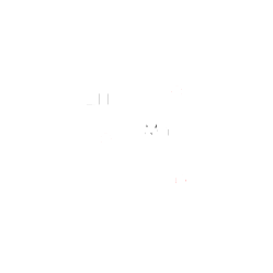 [LiH].[O]=[Mn](=[O])=[O]